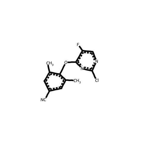 Cc1cc(C#N)cc(C)c1Oc1nc(Cl)ncc1F